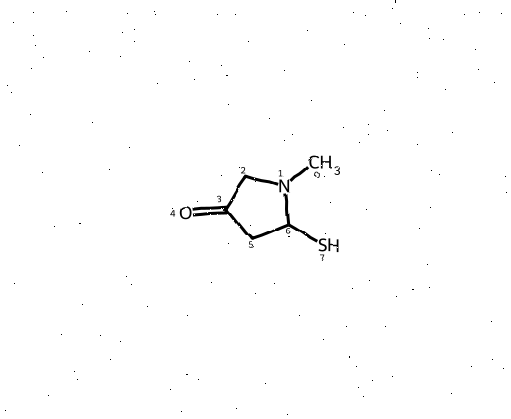 CN1CC(=O)CC1S